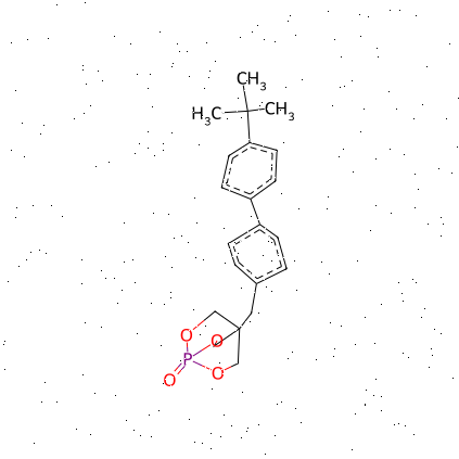 CC(C)(C)c1ccc(-c2ccc(CC34COP(=O)(OC3)OC4)cc2)cc1